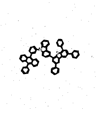 c1ccc(-c2cc(-c3ccccc3)c3sc4c(-c5ccc6c(c5)c5ccccc5n6-c5cccc(-c6c7ccccc7c(-c7ccccc7)c7ccccc67)c5)cc(-c5ccccc5)cc4c3c2)cc1